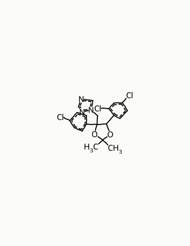 CC1(C)OC(c2ccc(Cl)cc2Cl)C(Cn2cncn2)(c2ccc(Cl)cc2)O1